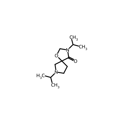 CC(C)N1CCC2(C1)OCN(C(C)C)C2=O